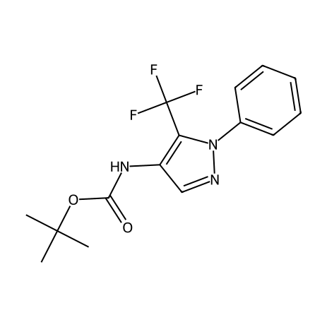 CC(C)(C)OC(=O)Nc1cnn(-c2ccccc2)c1C(F)(F)F